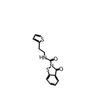 O=C(NCCc1cccs1)n1sc2ccccc2c1=O